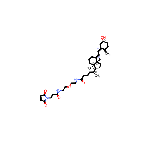 C=C1CC[C@H](O)C/C1=C/C=C1\CCC[C@]2(C)[C@@H]([C@H](C)CCCC(=O)NCCOCCNC(=O)CCN3C(=O)C=CC3=O)CC[C@@H]12